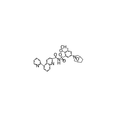 COc1ccc(N2CC3CCC(C2)O3)cc1S(=O)(=O)NC(=O)c1ccc2c(-c3ccccn3)cccc2n1